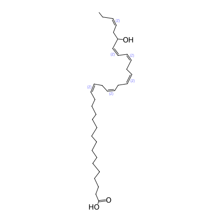 CC/C=C\CC(O)/C=C\C=C/C/C=C\C/C=C\C/C=C\CCCCCCCCCCCCCCC(=O)O